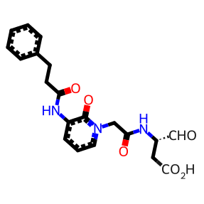 O=C[C@H](CC(=O)O)NC(=O)Cn1cccc(NC(=O)CCc2ccccc2)c1=O